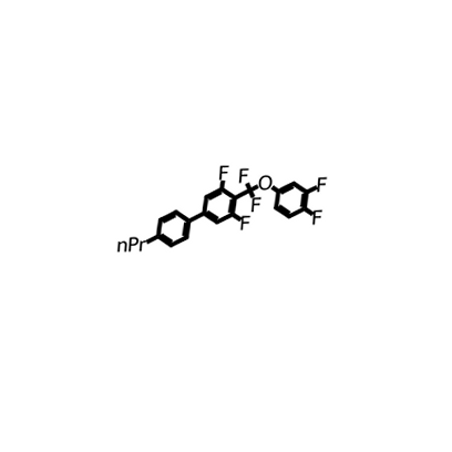 CCCc1ccc(-c2cc(F)c(C(F)(F)Oc3ccc(F)c(F)c3)c(F)c2)cc1